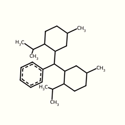 CC1CCC(C(C)C)C(C(c2ccccc2)C2CC(C)CCC2C(C)C)C1